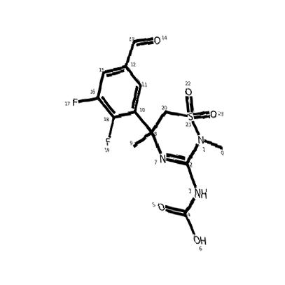 CN1C(NC(=O)O)=NC(C)(c2cc(C=O)cc(F)c2F)CS1(=O)=O